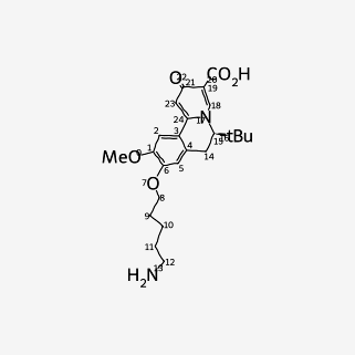 COc1cc2c(cc1OCCCCCN)C[C@H](C(C)(C)C)n1cc(C(=O)O)c(=O)cc1-2